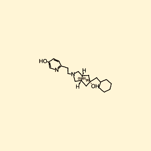 Oc1ccc(CCN2C[C@@H]3C[C@@](O)(CC4CCCCC4)C[C@@H]3C2)nc1